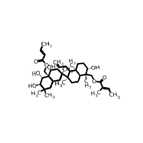 C=CCC1[C@@]2(C)CC[C@H](O)[C@](C)(COC(=O)/C(C)=C/C)C2CC[C@@]1(C)[C@@]1(C)CC2CC(C)(C)[C@@H](O)[C@H](O)[C@]2(COC(=O)/C=C/C)[C@H](O)C1